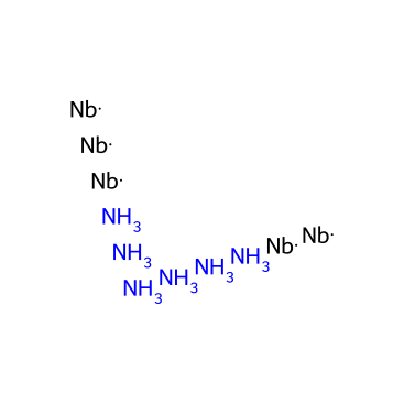 N.N.N.N.N.N.[Nb].[Nb].[Nb].[Nb].[Nb]